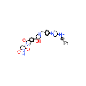 CC(C)C12CC(NC3CCN(c4ccc(CN5CCC(O)(c6ccc7c(c6)CN(C6CCC(=O)NC6=O)C7=O)CC5)cc4)CC3)(C1)C2